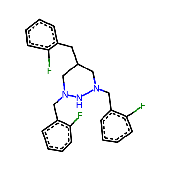 Fc1ccccc1CC1CN(Cc2ccccc2F)NN(Cc2ccccc2F)C1